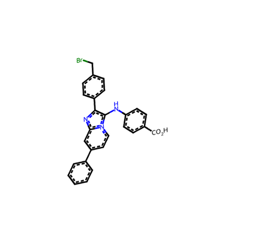 O=C(O)c1ccc(Nc2c(-c3ccc(CBr)cc3)nc3cc(-c4ccccc4)ccn23)cc1